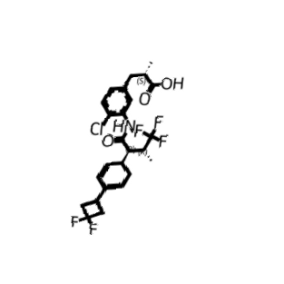 C[C@H]([C@H](C(=O)Nc1cc(C[C@H](C)C(=O)O)ccc1Cl)C1C=CC(C2CC(F)(F)C2)=CC1)C(F)(F)F